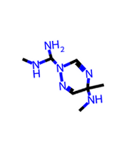 CNC(N)N1C=NC(C)(NC)C=N1